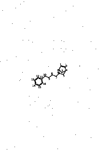 C1=CC2CC1CC2CCCCc1ccccc1